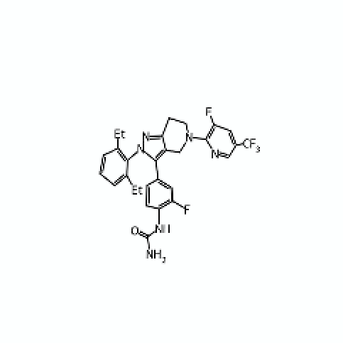 CCc1cccc(CC)c1-n1nc2c(c1-c1ccc(NC(N)=O)c(F)c1)CN(c1ncc(C(F)(F)F)cc1F)CC2